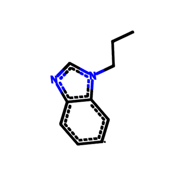 CCCn1cnc2cc[c]cc21